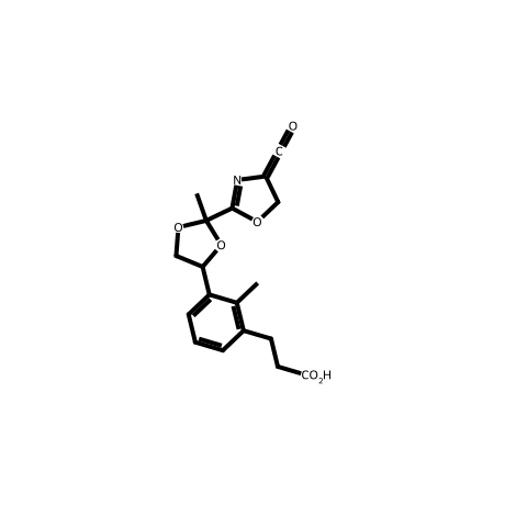 Cc1c(CCC(=O)O)cccc1C1COC(C)(C2=NC(=C=O)CO2)O1